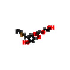 CC(C)SCCc1cc(OC(=O)COCCO)ccc1O